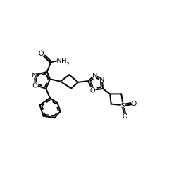 NC(=O)c1noc(-c2ccccc2)c1C1CC(c2nnc(C3CS(=O)(=O)C3)o2)C1